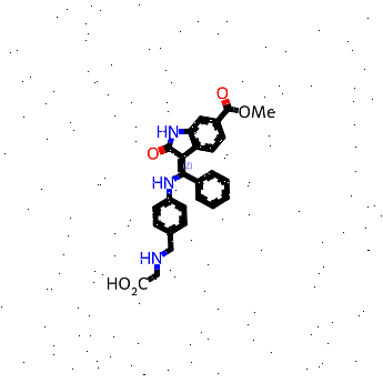 COC(=O)c1ccc2c(c1)NC(=O)/C2=C(\Nc1ccc(CNCC(=O)O)cc1)c1ccccc1